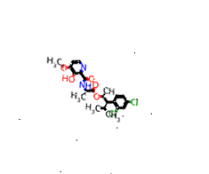 COc1ccnc(C(=O)N[C@@H](C)C(=O)O[C@@H](C)[C@@H](c2ccc(Cl)cc2Cl)C(C)C)c1O